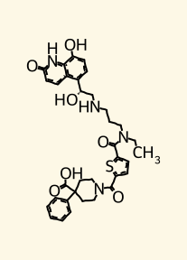 CCN(CCCNC[C@H](O)c1ccc(O)c2[nH]c(=O)ccc12)C(=O)c1ccc(C(=O)N2CCC(C(=O)O)(c3ccccc3)CC2)s1